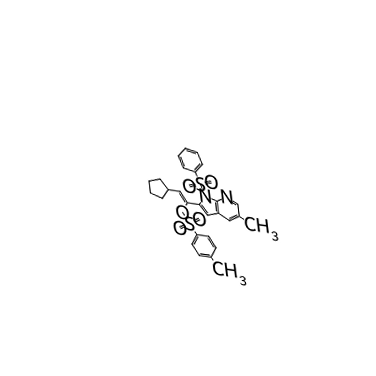 Cc1ccc(S(=O)(=O)O/C(=C\C2CCCC2)c2cc3cc(C)cnc3n2S(=O)(=O)c2ccccc2)cc1